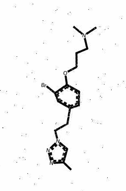 Cc1cn(CCc2ccc(OCCCN(C)C)c(Br)c2)nn1